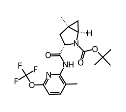 Cc1ccc(OC(F)(F)F)nc1NC(=O)[C@@H]1C[C@@]2(C)C[C@H]2N1C(=O)OC(C)(C)C